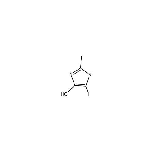 Cc1nc(O)c(I)s1